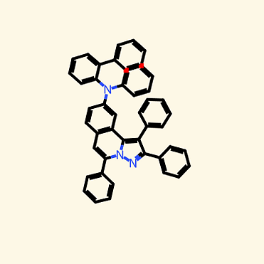 c1ccc(-c2ccccc2N(c2ccccc2)c2ccc3cc(-c4ccccc4)n4nc(-c5ccccc5)c(-c5ccccc5)c4c3c2)cc1